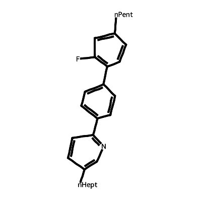 CCCCCCCc1ccc(-c2ccc(-c3ccc(CCCCC)cc3F)cc2)nc1